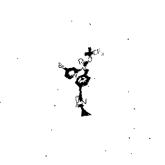 CC(C)(OC(=O)N(CC12CCC(c3nc(C4CC4)no3)(CC1)CC2)c1cc(Br)ccn1)C(F)(F)F